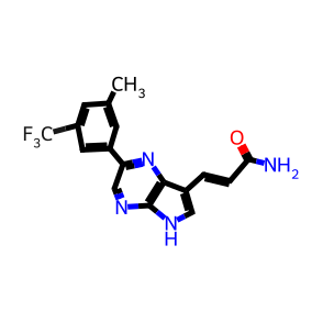 Cc1cc(-c2cnc3[nH]cc(C=CC(N)=O)c3n2)cc(C(F)(F)F)c1